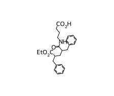 CCOC(=O)C(Cc1ccccc1)CC(Cc1ccccc1)C(=O)NCCCC(=O)O